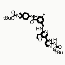 CC(C)(C)OC(=O)Nc1nccc(-c2cnc(NCc3cc(F)cc(C(=O)NC4CCC5(CC4)CN(C(=O)OC(C)(C)C)C5)c3)c3c2OCC3)n1